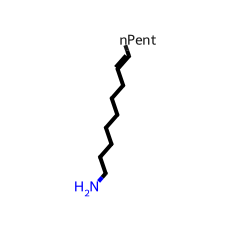 CCCCCC=CCCCCCCCN